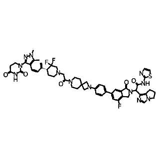 C=C(/C=C\c1c(N2CCC(=O)NC2=O)nn(C)c1C)[C@H]1CCN(CC(=O)N2CCC3(CC2)CN(c2ccc(-c4cc(F)c5c(c4)C(=O)N(C(C(=O)Nc4nccs4)c4ncn6c4CCC6)C5)cc2)C3)CC1(F)F